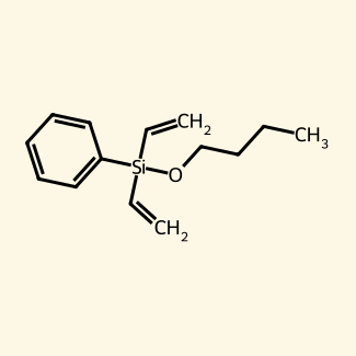 C=C[Si](C=C)(OCCCC)c1ccccc1